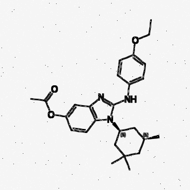 CCOc1ccc(Nc2nc3cc(OC(C)=O)ccc3n2[C@H]2C[C@@H](C)CC(C)(C)C2)cc1